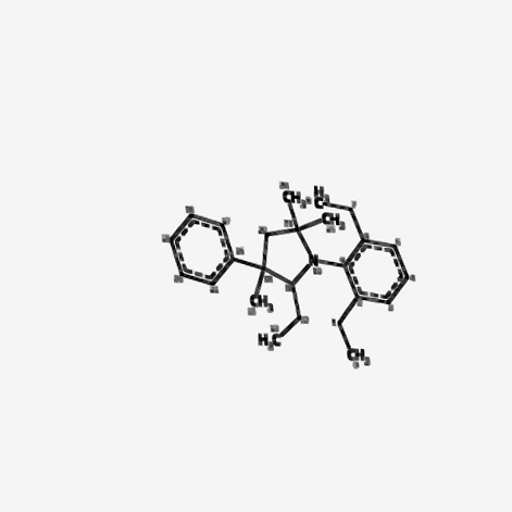 CCc1cccc(CC)c1N1C(CC)C(C)(c2ccccc2)CC1(C)C